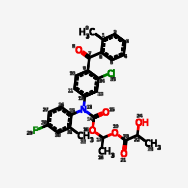 Cc1ccccc1C(=O)c1ccc(N(C(=O)OC(C)OC(=O)C(C)O)c2ccc(F)cc2C)cc1Cl